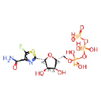 NC(=O)c1nc([C@@H]2O[C@H](CO[PH](O)(O)O[PH](O)(O)O[PH](=O)O)[C@@H](O)[C@H]2O)sc1F